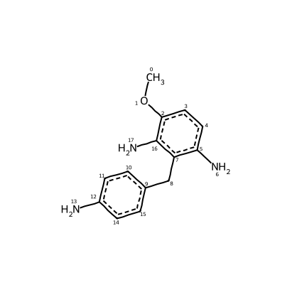 COc1ccc(N)c(Cc2ccc(N)cc2)c1N